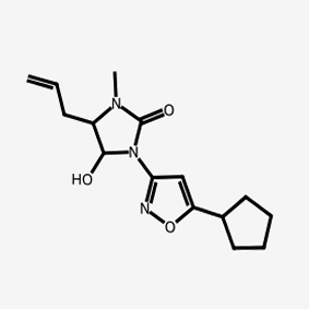 C=CCC1C(O)N(c2cc(C3CCCC3)on2)C(=O)N1C